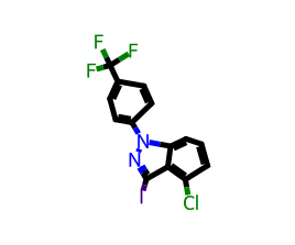 FC(F)(F)c1ccc(-n2nc(I)c3c(Cl)cccc32)cc1